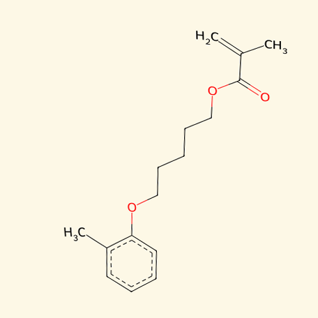 C=C(C)C(=O)OCCCCCOc1ccccc1C